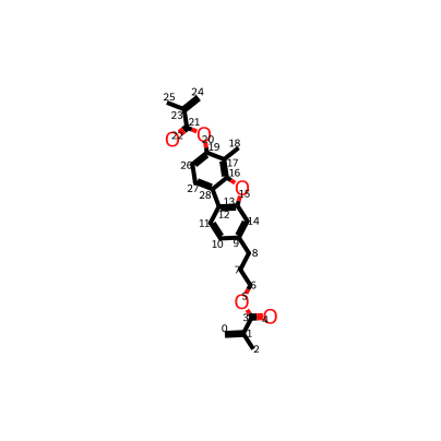 C=C(C)C(=O)OCCCc1ccc2c(c1)oc1c(C)c(OC(=O)C(=C)C)ccc12